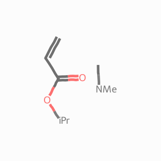 C=CC(=O)OC(C)C.CNC